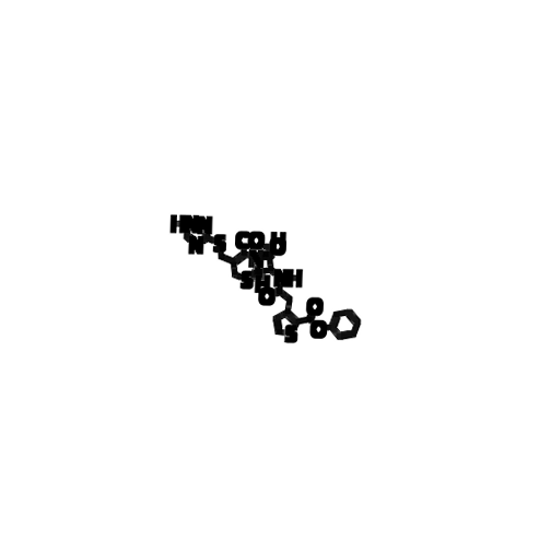 O=C(Cc1ccsc1C(=O)Oc1ccccc1)NC1C(=O)N2C(C(=O)O)=C(CSc3nc[nH]n3)CS[C@@H]12